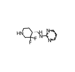 FC1(F)CNCC[C@@H]1CNc1ncccn1